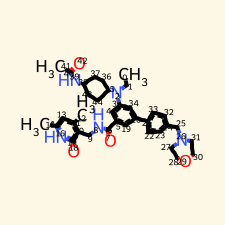 CCN(c1cc(C(=O)NCc2c(C)cc(C)[nH]c2=O)cc(-c2ccc(CN3CCOCC3)cc2)c1)[C@H]1CC[C@H](NC(C)=O)CC1